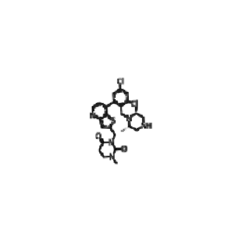 C[C@H]1CNC[C@H](C)N1Cc1c(Cl)cc(Cl)cc1-c1ccnc2cc(CN3C(=O)CCN(C)C3=O)sc12